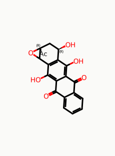 CC(=O)[C@@]12C[C@@H](O)c3c(O)c4c(c(O)c3C1O2)C(=O)c1ccccc1C4=O